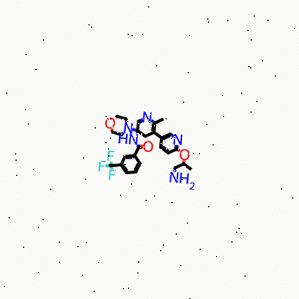 CC1=C(c2ccc(OC(C)CN)nc2)C[C@@](NC(=O)c2cccc(C(F)(F)F)c2)(N2CCOCC2)C=N1